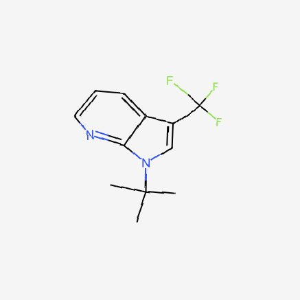 CC(C)(C)n1cc(C(F)(F)F)c2cccnc21